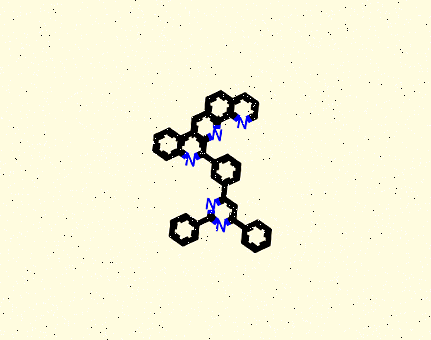 c1ccc(-c2cc(-c3cccc(-c4nc5ccccc5c5cc6ccc7cccnc7c6nc45)c3)nc(-c3ccccc3)n2)cc1